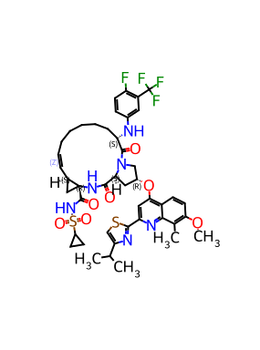 COc1ccc2c(O[C@@H]3C[C@H]4C(=O)N[C@]5(C(=O)NS(=O)(=O)C6CC6)C[C@H]5/C=C\CCCCC[C@H](Nc5ccc(F)c(C(F)(F)F)c5)C(=O)N4C3)cc(-c3nc(C(C)C)cs3)nc2c1C